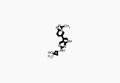 Cc1nnc2ccc(-c3c[nH]c4nc(N[C@H]5C[C@](C)(O)C5)ncc34)cn12